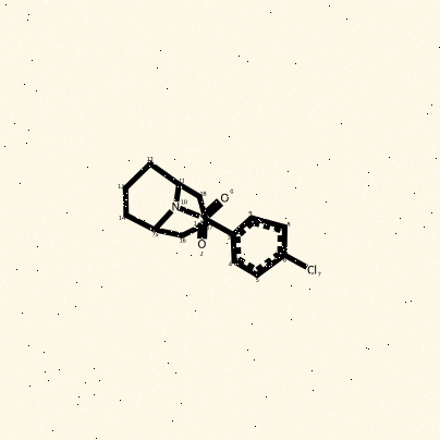 O=S(=O)(c1ccc(Cl)cc1)N1C2CCCC1CCC2